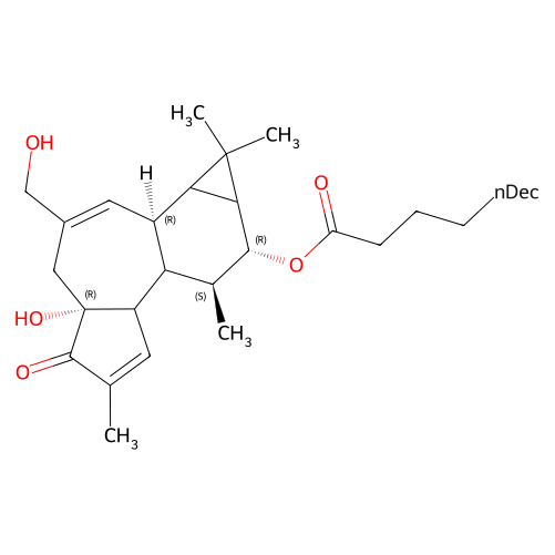 CCCCCCCCCCCCCC(=O)O[C@H]1C2C([C@@H]3C=C(CO)C[C@]4(O)C(=O)C(C)=CC4C3[C@@H]1C)C2(C)C